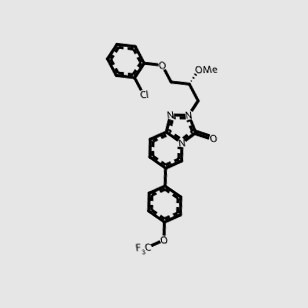 CO[C@@H](COc1ccccc1Cl)Cn1nc2ccc(-c3ccc(OC(F)(F)F)cc3)cn2c1=O